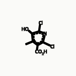 Cc1c(O)c(Cl)nc(Cl)c1C(=O)O